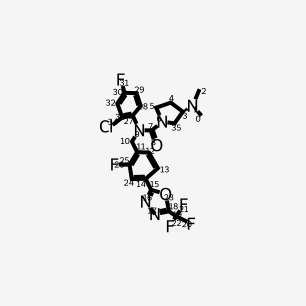 CN(C)[C@@H]1CCN(C(=O)N(Cc2ccc(-c3nnc(C(F)(F)F)o3)cc2F)c2ccc(F)cc2Cl)C1